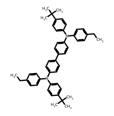 CCc1ccc(N(c2ccc(-c3ccc(N(c4ccc(CC)cc4)c4ccc(C(C)(C)C)cc4)cc3)cc2)c2ccc(C(C)(C)C)cc2)cc1